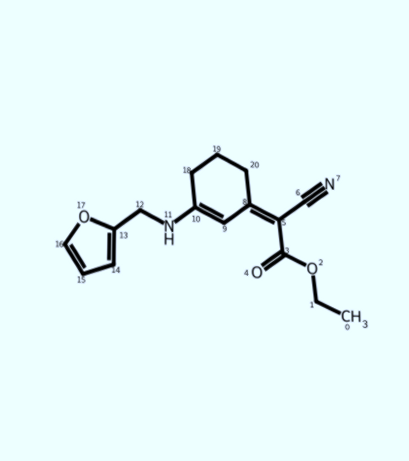 CCOC(=O)/C(C#N)=C1\C=C(NCc2ccco2)CCC1